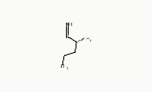 CCC[C@@H](C)N=N